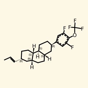 CC=C[C@@H]1CC[C@H]2[C@H](CC[C@H]3C[C@H](c4cc(F)c(OC(F)(F)F)c(F)c4)CC[C@@H]32)C1